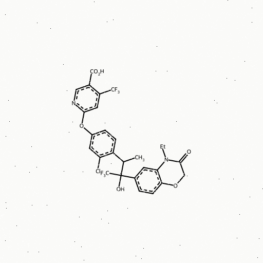 CCN1C(=O)COc2ccc(C(O)(C(C)c3ccc(Oc4cc(C(F)(F)F)c(C(=O)O)cn4)cc3Cl)C(F)(F)F)cc21